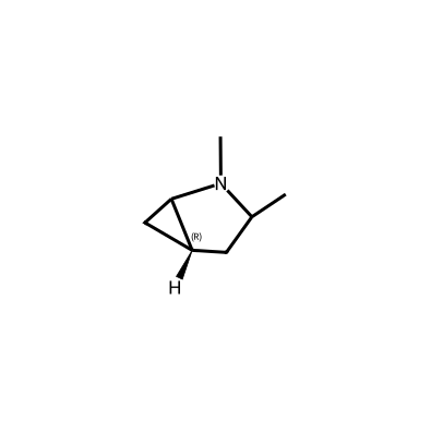 CC1C[C@@H]2CC2N1C